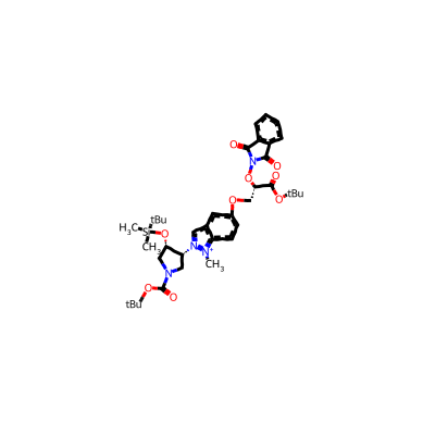 C[n+]1c2ccc(OC[C@H](ON3C(=O)c4ccccc4C3=O)C(=O)OC(C)(C)C)cc2cn1[C@@H]1CN(C(=O)OC(C)(C)C)C[C@@H]1O[Si](C)(C)C(C)(C)C